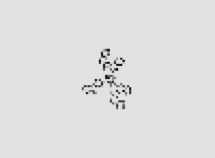 c1ccc2c(c1)ccc1oc3c(-c4nc(-c5ccc6c(c5)oc5ccccc56)nc(-c5cc6ccccc6c6c5oc5ccc7ccccc7c56)n4)cc4ccccc4c3c12